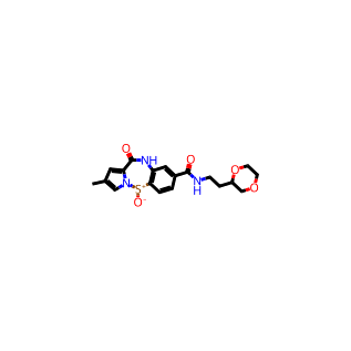 Cc1cc2n(c1)[S+]([O-])c1ccc(C(=O)NCCC3COCCO3)cc1NC2=O